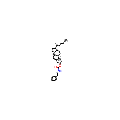 CC(C)CCC[C@@H](C)C1CCC2[C@@H]3CC=C4C[C@@H](OC(=O)NCCc5ccccc5)CC[C@]4(C)C3CC[C@@]21C